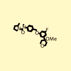 COC1(c2cc(F)cc(OCc3ccc(N(C)C(=O)N4CCCC4C)cc3)c2)CCOCC1